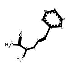 CC(=O)C(C)CC=Cc1ccccc1